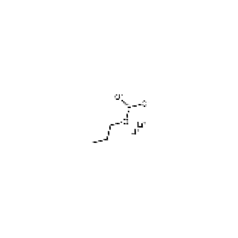 CCCOB([O-])[O-].[Li+].[Li+]